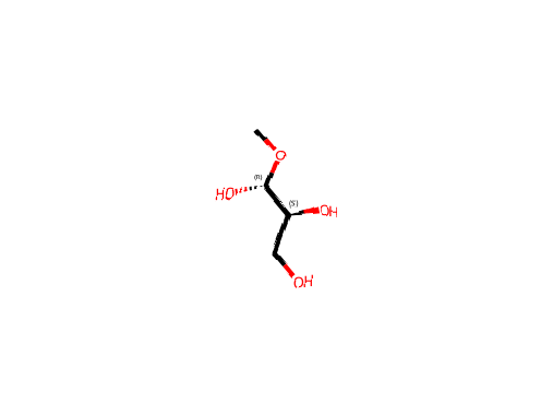 CO[C@@H](O)[C@@H](O)CO